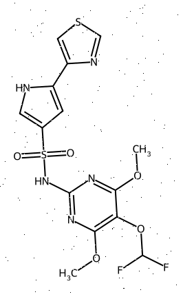 COc1nc(NS(=O)(=O)c2c[nH]c(-c3cscn3)c2)nc(OC)c1OC(F)F